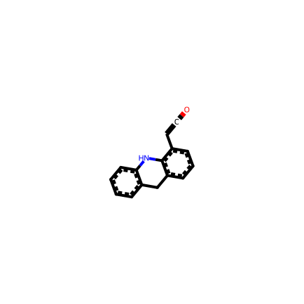 O=C=Cc1cccc2c1Nc1ccccc1C2